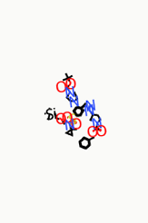 CC(C)(C)OC(=O)N1CCN(c2cc(S(=O)(=O)N(COCC[Si](C)(C)C)C3(C)CC3)cc3c2cnn3C2CCN(C(=O)OCc3ccccc3)C2)CC1